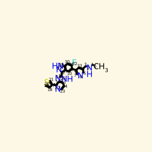 CCNCc1cncc(-c2cc3c(-c4nc5c(-c6ccsc6)nccc5[nH]4)n[nH]c3cc2F)c1